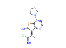 C/C(C(=N)Cl)=C1/C(=N)Sc2c1ncnc2N1CCCC1